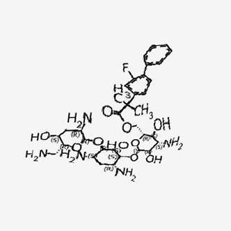 CC(C)(C(=O)OC[C@H]1O[C@H](O[C@@H]2[C@@H](O)[C@H](O[C@H]3O[C@H](CN)[C@@H](O)C[C@H]3N)[C@@H](N)C[C@H]2N)[C@H](O)[C@@H](N)[C@@H]1O)c1ccc(-c2ccccc2)c(F)c1